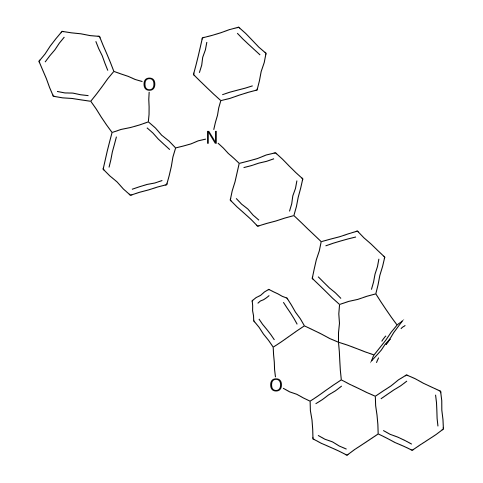 c1ccc(N(c2ccc(-c3ccc4c(c3)C3(c5ccccc5Oc5ccc6ccccc6c53)c3ccccc3-4)cc2)c2cccc3c2oc2ccccc23)cc1